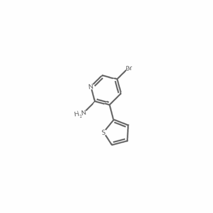 Nc1ncc(Br)cc1-c1cccs1